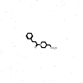 O=C(O)CC1CCN(C(=O)CCC2=CCCC=C2)CC1